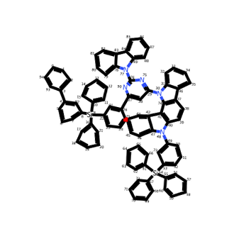 c1ccc(-c2cccc([Si](c3ccccc3)(c3ccccc3)c3cccc(-c4cc(-n5c6ccccc6c6ccc7c(c8ccccc8n7-c7cccc([Si](c8ccccc8)(c8ccccc8)c8ccccc8)c7)c65)nc(-n5c6ccccc6c6ccccc65)n4)c3)c2)cc1